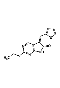 CCSc1ncc2c(n1)NC(=O)C2=Cc1cccs1